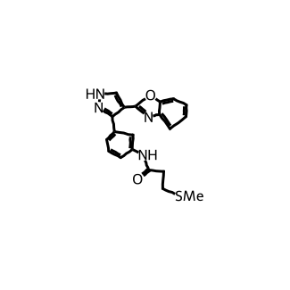 CSCCC(=O)Nc1cccc(-c2n[nH]cc2-c2nc3ccccc3o2)c1